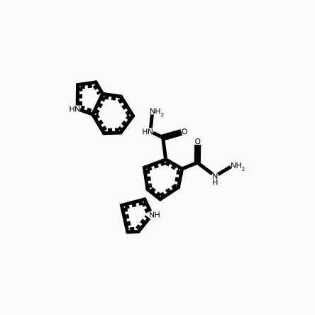 NNC(=O)c1ccccc1C(=O)NN.c1cc[nH]c1.c1ccc2[nH]ccc2c1